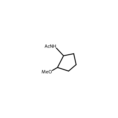 COC1CCCC1NC(C)=O